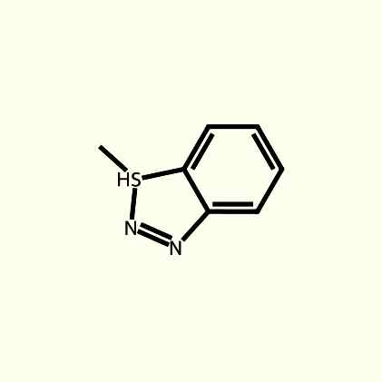 C[SH]1N=Nc2ccccc21